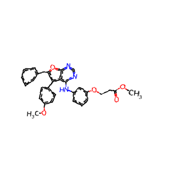 COC(=O)CCOc1cccc(Nc2ncnc3oc(-c4ccccc4)c(-c4ccc(OC)cc4)c23)c1